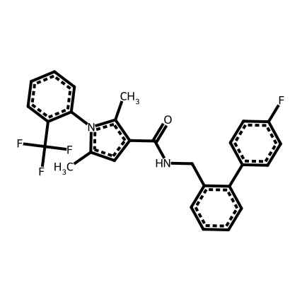 Cc1cc(C(=O)NCc2ccccc2-c2ccc(F)cc2)c(C)n1-c1ccccc1C(F)(F)F